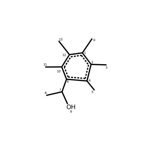 Cc1c(C)c(C)c(C(C)O)c(C)c1C